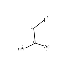 CCCC(CI)C(C)=O